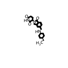 CC[C@H]1CC[C@H](NCc2ccc3c(c2)CN(C2CCC(=O)NC2=O)C3=O)CC1